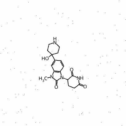 Cn1c(=O)n(C2CCC(=O)NC2=O)c2ccc(C3(O)CCNCC3)cc21